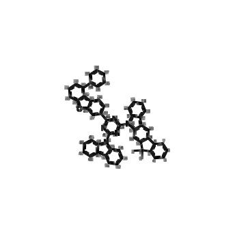 CC1(C)c2ccccc2-c2cc3c4ccccc4n(-c4nc(-c5ccc6c(c5)oc5cccc(-c7ccccc7)c56)nc(-n5c6ccccc6c6ccccc65)n4)c3cc21